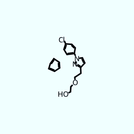 OCCOCCc1ccn(-c2ccc(Cl)cc2)n1.c1ccccc1